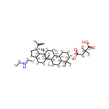 C=C(C)[C@@H]1CC[C@]2(CCNCC)CC[C@]3(C)[C@H](CCC4[C@@]5(C)CC[C@H](OC(=O)CC(C)(C)C(=O)O)C(C)(C)C5CC[C@]43C)C12